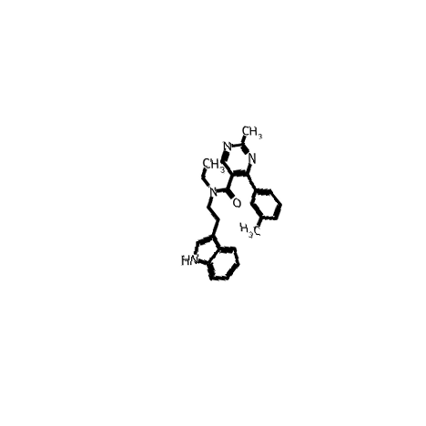 CCN(CCc1c[nH]c2ccccc12)C(=O)c1cnc(C)nc1-c1cccc(C)c1